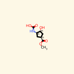 COC(=O)[C@@H]1C[C@@H](O)[C@H](NC(=O)O)C1